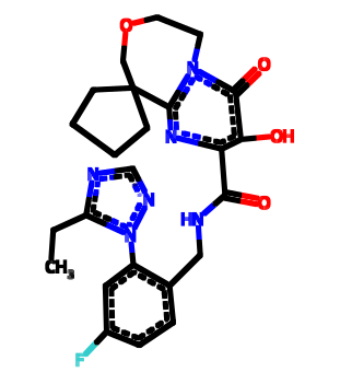 CCc1ncnn1-c1cc(F)ccc1CNC(=O)c1nc2n(c(=O)c1O)CCOCC21CCCC1